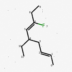 CC=CCC(/C=C(\F)CC)CC